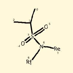 CC(C)S(=O)(=O)[N]([Re])[Rf]